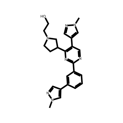 Cn1cc(-c2cccc(-c3ncc(-c4cnn(C)c4)c(C4CCN(CCO)C4)n3)c2)cn1